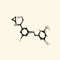 CNCC(NC1CC1)c1cc(F)cc(CCc2cc(C)cc(N)n2)c1